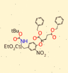 CCOC(=O)[C@H](Cc1ccc(O[C@H](CCC(=O)OCc2ccccc2)C(=O)OCc2ccccc2)c([N+](=O)[O-])c1)NC(=O)OC(C)(C)C